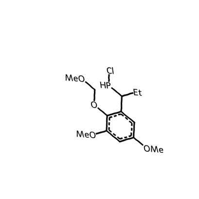 CCC(PCl)c1cc(OC)cc(OC)c1OCOC